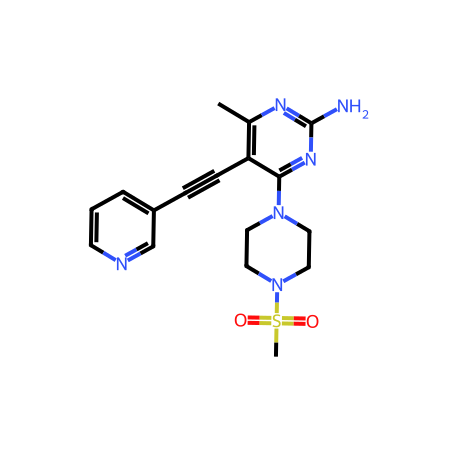 Cc1nc(N)nc(N2CCN(S(C)(=O)=O)CC2)c1C#Cc1cccnc1